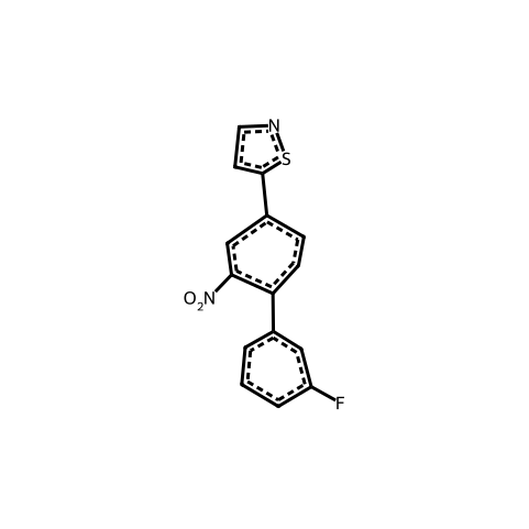 O=[N+]([O-])c1cc(-c2ccns2)ccc1-c1cccc(F)c1